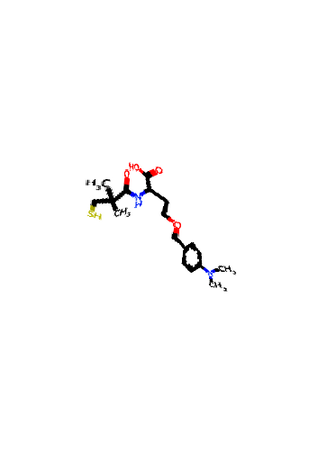 CN(C)c1ccc(COCCC(NC(=O)C(C)(C)CS)C(=O)O)cc1